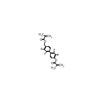 C=C(C)C(=O)OCc1ccc(-c2ccc(OC(=O)C(=C)C)c(F)c2F)c(F)c1F